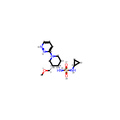 COC[C@@H]1CN(c2cccnn2)CC[C@@H]1NS(=O)(=O)NC1CC1